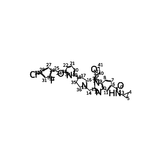 O=C(NC1CC1)c1ccc2c(c1)nc(CN1CCC(c3cccc(OCc4ccc(Cl)cc4F)n3)CC1)n2C[C@@H]1CCO1